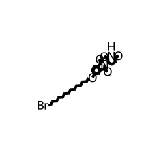 O=C1CCC(N2C(=O)c3ccc(OCCCCCCCCCCCCCCBr)cc3C2=O)C(=O)N1